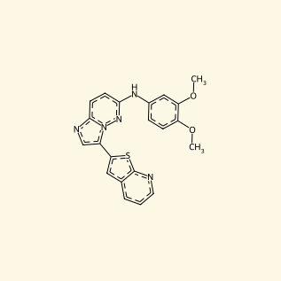 COc1ccc(Nc2ccc3ncc(-c4cc5cccnc5s4)n3n2)cc1OC